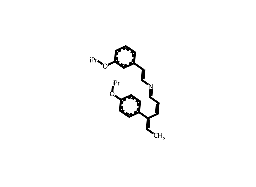 C\C=C(/C=C\C=N\C=C\c1cccc(OC(C)C)c1)c1ccc(OC(C)C)cc1